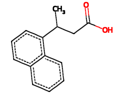 CC(CC(=O)O)c1cccc2ccccc12